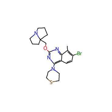 Cc1c(Br)ccc2c(N3CCSCC3)nc(OCC34CCCN3CCC4)nc12